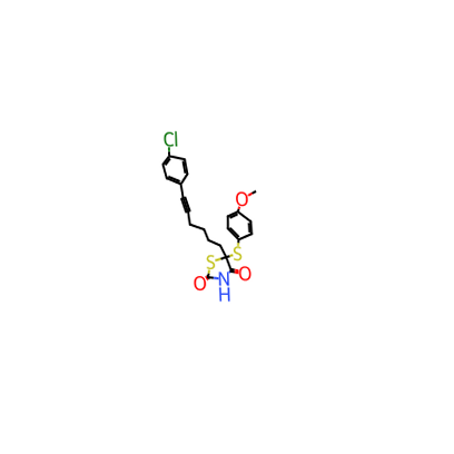 COc1ccc(SC2(CCCCC#Cc3ccc(Cl)cc3)SC(=O)NC2=O)cc1